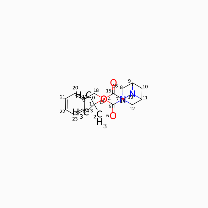 CC(C)(C)OC(=O)N1CC2CC(C1)N2CC(=O)OCc1ccccc1